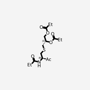 CCC(=O)N[C@@H](CSC[C@H](COC(=O)CC)OC(=O)CC)C(C)=O